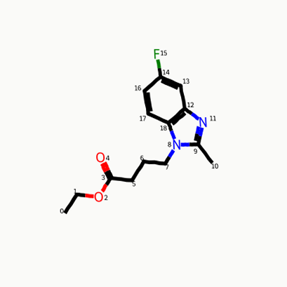 CCOC(=O)CCCn1c(C)nc2cc(F)ccc21